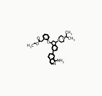 CCOC(=O)Cc1ccccc1OC1CC(N2CCN(C(C)C)CC2)c2ccc(-c3ccc4ccnc(N)c4c3)cc21